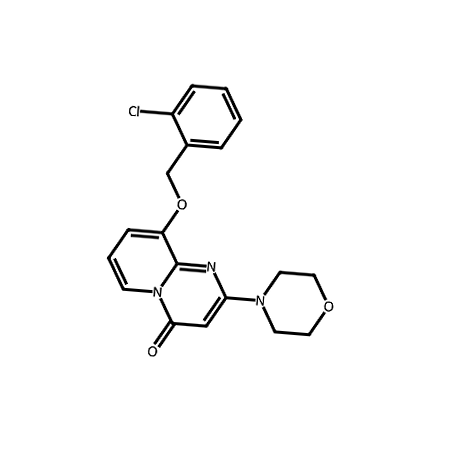 O=c1cc(N2CCOCC2)nc2c(OCc3ccccc3Cl)cccn12